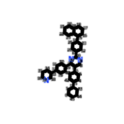 C1=C=C(c2ccc(-c3cnc(-c4ccc(-c5cccc6ccccc56)cc4)nc3-c3ccc(-c4cccnc4)cc3)cc2)C=CC=1